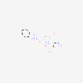 Cc1ccc([C@H](C)NC(=O)[C@@H]2C[C@@H](O)CN2C(=O)[C@@H](c2cc(C)no2)C(C)C)cc1